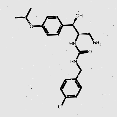 CC(C)Oc1ccc([C@@H](O)[C@@H](CN)NC(=O)NCc2ccc(Cl)cc2)cc1